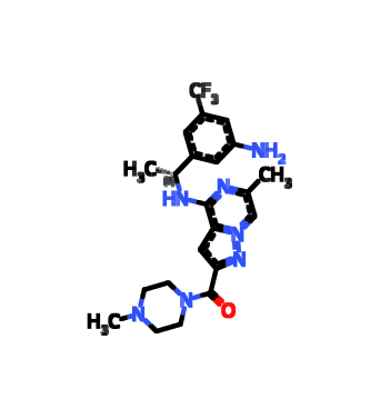 Cc1cn2nc(C(=O)N3CCN(C)CC3)cc2c(N[C@H](C)c2cc(N)cc(C(F)(F)F)c2)n1